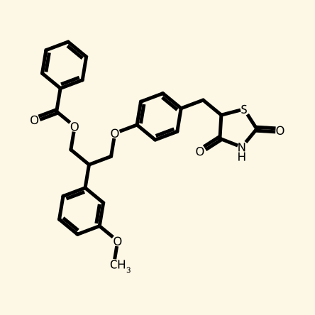 COc1cccc(C(COC(=O)c2ccccc2)COc2ccc(CC3SC(=O)NC3=O)cc2)c1